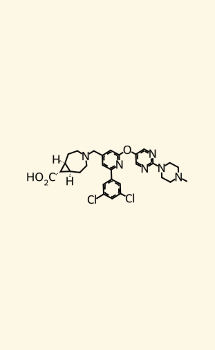 CN1CCN(c2ncc(Oc3cc(CN4CC[C@@H]5[C@H](CC4)[C@H]5C(=O)O)cc(-c4cc(Cl)cc(Cl)c4)n3)cn2)CC1